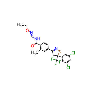 CCO/N=C/NC(=O)c1ccc(C2=NSC(c3cc(Cl)cc(Cl)c3)(C(F)(F)F)C2)cc1C